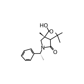 C[C@H](c1ccccc1)N1C[C@](C)(C(=O)O)C(C(C)(C)C)C1=O